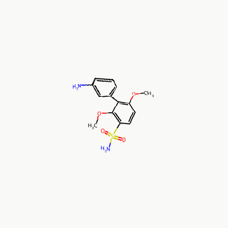 COc1ccc(S(N)(=O)=O)c(OC)c1-c1cccc(N)c1